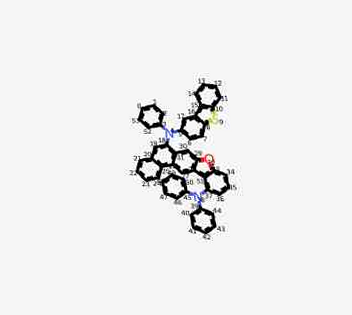 c1ccc(N(c2ccc3sc4ccccc4c3c2)c2cc3ccccc3c3cc4c(cc23)oc2cccc(N(c3ccccc3)c3ccccc3)c24)cc1